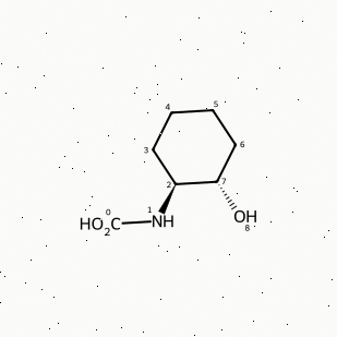 O=C(O)N[C@H]1CCCC[C@@H]1O